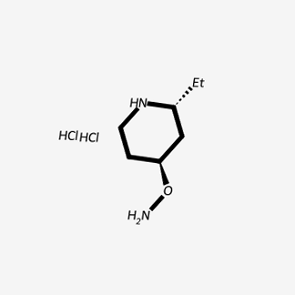 CC[C@@H]1C[C@@H](ON)CCN1.Cl.Cl